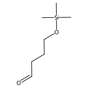 C[Si](C)(C)OCCCC=O